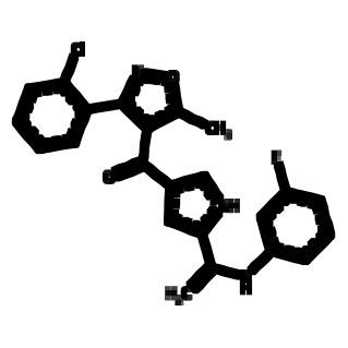 C=C(Nc1cccc(F)c1)c1cc(C(=O)c2c(-c3ccccc3Cl)noc2C)c[nH]1